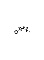 CCOC(=O)CC(=O)c1csc(-c2ccccc2)n1